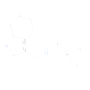 C[C@@H](N[S@@+]([O-])C(C)(C)C)c1cnn2c1OCCC2